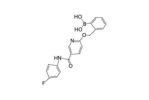 O=C(Nc1ccc(F)cc1)c1ccc(OCc2ccccc2B(O)O)nc1